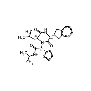 CC(C)C[C@@H]1C(=O)N[C@H](C2Cc3ccccc3C2)C(=O)N1[C@@H](C(=O)NC(C)C)c1cccs1